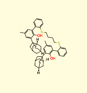 Cc1cc(-c2ccccc2SCCCCSc2ccccc2-c2cc(C)cc(C34CC5C[C@H](C[C@@H]3C5)C4)c2O)c(O)c(C23CC4C[C@@H](C[C@H]2C4)C3)c1